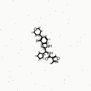 Cc1nocc1C(=O)NC(c1nc2c(F)c(C3CCOCC3)ccc2[nH]1)C1CCCC1